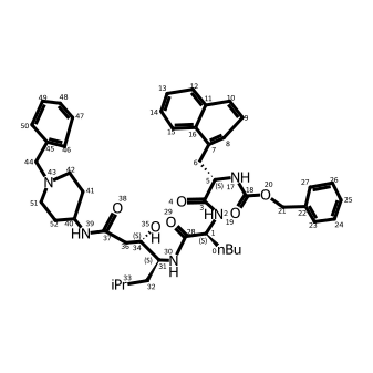 CCCC[C@H](NC(=O)[C@H](Cc1cccc2ccccc12)NC(=O)OCc1ccccc1)C(=O)N[C@@H](CC(C)C)[C@@H](O)CC(=O)NC1CCN(Cc2ccccc2)CC1